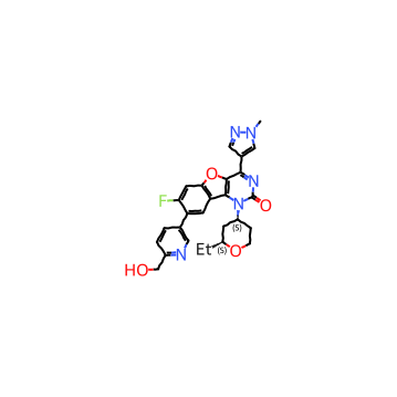 CC[C@H]1C[C@@H](n2c(=O)nc(-c3cnn(C)c3)c3oc4cc(F)c(-c5ccc(CO)nc5)cc4c32)CCO1